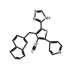 [C-]#[N+]c1c(-c2ccncc2)sc(-c2nnc[nH]2)c1Cc1ccc2ccccc2c1